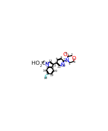 O=C1COCCN1c1ccc(-c2cn(C(=O)O)c3cc(F)ccc23)cn1